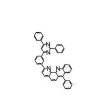 c1ccc(-c2cc(-c3cccc(-c4ccc5ccc6c(-c7ccccc7)c7ccccc7nc6c5n4)c3)nc(-c3ccccc3)n2)cc1